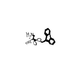 NCC(C=O)C(=O)OCC1c2ccccc2-c2ccccc21